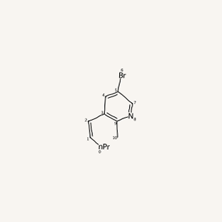 CCC/C=C\c1cc(Br)cnc1C